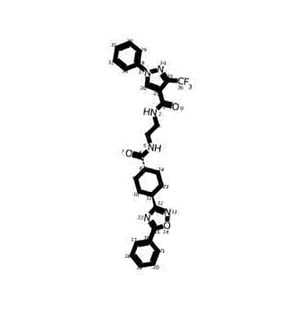 O=C(NCCNC(=O)[C@H]1CC[C@H](c2noc(-c3ccccc3)n2)CC1)c1cn(-c2ccccc2)nc1C(F)(F)F